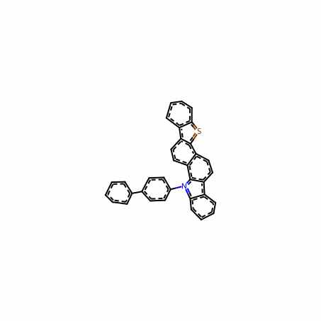 c1ccc(-c2ccc(-n3c4ccccc4c4ccc5c(ccc6c7ccccc7sc65)c43)cc2)cc1